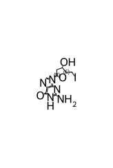 Nc1nc2c(ncn2[C@H]2CC(O)[C@@H](CI)O2)c(=O)[nH]1